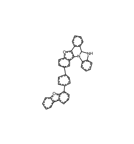 c1ccc2c(c1)NC1c3ccccc3-c3oc4ccc(-c5ccc(-c6cccc7c6oc6ccccc67)cc5)cc4c3N21